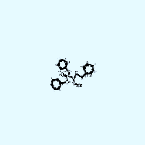 O=P(Oc1ccccc1)(Oc1ccccc1)N(CCc1ccccc1)SBr